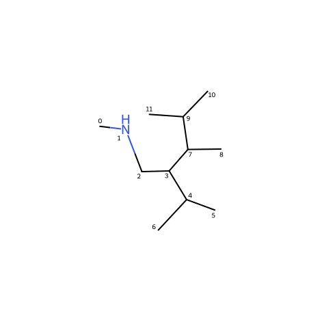 CNCC(C(C)C)C(C)C(C)C